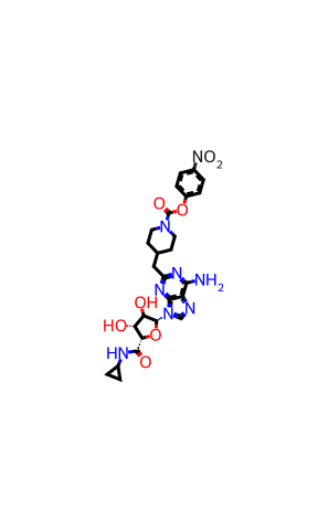 Nc1nc(CC2CCN(C(=O)Oc3ccc([N+](=O)[O-])cc3)CC2)nc2c1ncn2[C@@H]1O[C@H](C(=O)NC2CC2)[C@H](O)C1O